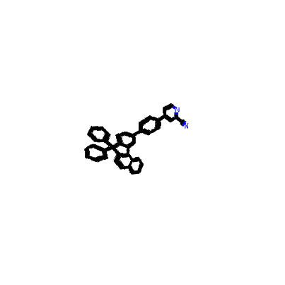 N#Cc1cc(-c2ccc(-c3ccc4c(c3)-c3c(ccc5ccccc35)C4(c3ccccc3)c3ccccc3)cc2)ccn1